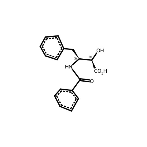 O=C(N[C@@H](Cc1ccccc1)[C@@H](O)C(=O)O)c1ccccc1